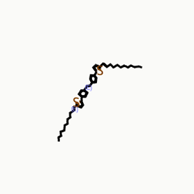 CCCCCCCCCCC=Cc1ccc(-c2ccc(/C=C/c3ccc(-c4ccc(/C=C/CCCCCCCCCC)s4)cc3)cc2)s1